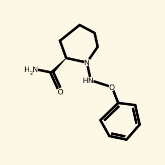 NC(=O)[C@H]1CCCCN1NOc1ccccc1